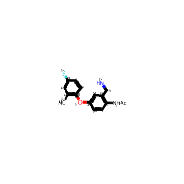 CC(=O)Nc1ccc(Oc2ccc(F)cc2C#N)cc1C=N